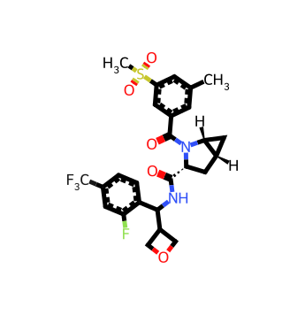 Cc1cc(C(=O)N2[C@@H](C(=O)NC(c3ccc(C(F)(F)F)cc3F)C3COC3)C[C@H]3C[C@H]32)cc(S(C)(=O)=O)c1